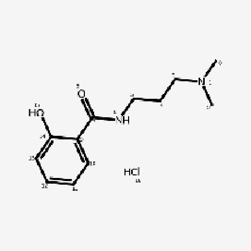 CN(C)CCCNC(=O)c1ccccc1O.Cl